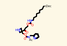 CCCCCCCCCCCCCCCCCCNC(=O)OCCC(=O)C1(COC(=O)N(Cc2ccccn2)C(C)=O)CNC1